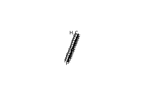 C=CC(F)(F)C(F)(F)C(F)(F)C(F)(F)C(F)(F)C(F)(F)C(F)(F)C(F)(F)C(F)(F)C(F)(F)C(F)(F)C(F)(F)C(F)(F)C(F)(F)C(F)(F)F